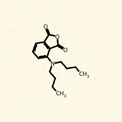 CCCCN(CCCC)c1cccc2c1C(=O)OC2=O